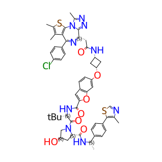 Cc1ncsc1-c1ccc([C@H](C)NC(=O)[C@@H]2C[C@@H](O)CN2C(=O)[C@@H](NC(=O)c2cc3ccc(O[C@H]4C[C@@H](NC(=O)C[C@@H]5N=C(c6ccc(Cl)cc6)c6c(sc(C)c6C)-n6c(C)nnc65)C4)cc3o2)C(C)(C)C)cc1